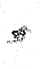 CCc1nc(C2(OC)C=C(OC)C=C(OC)C2NC)c2ccccc2n1